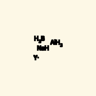 B.[AlH3].[NaH].[Y]